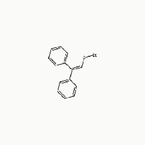 CCOC=C(c1ccccc1)c1ccccc1